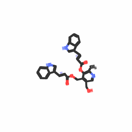 Cc1ncc(CO)c(COC(=O)/C=C/c2c[nH]c3ccccc23)c1OC(=O)/C=C/c1c[nH]c2ccccc12